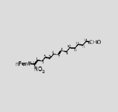 CCCCC/C(=C/C/C=C/C/C=C/CCCCCC[C]=O)[N+](=O)[O-]